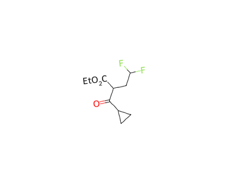 CCOC(=O)C(CC(F)F)C(=O)C1CC1